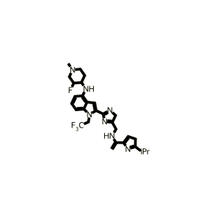 C=C(NCC1=NC(c2cc3c(NC4CCN(C)CC4F)cccc3n2CC(F)(F)F)=NC1)C1=CCC(C(C)C)=N1